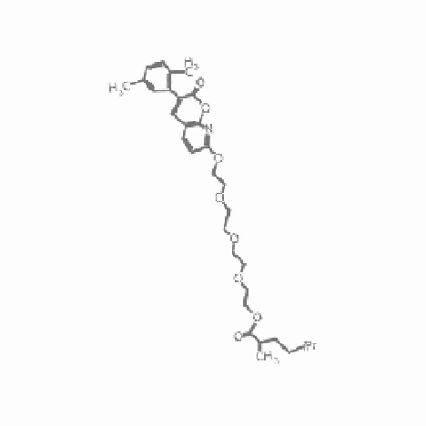 Cc1ccc(C)c(-c2cc3ccc(OCCOCCOCCOCCOC(=O)C(C)CCC(C)C)nc3oc2=O)c1